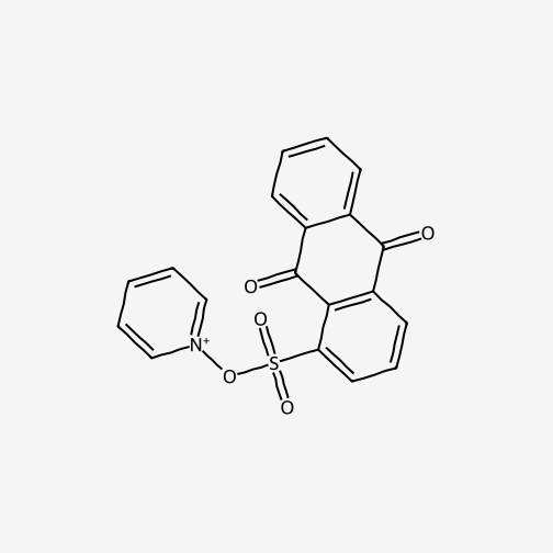 O=C1c2ccccc2C(=O)c2c1cccc2S(=O)(=O)O[n+]1ccccc1